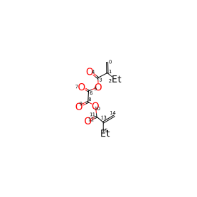 C=C(CC)C(=O)OC(=O)C(=O)OC(=O)C(=C)CC